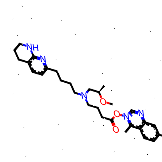 CO[C@H](C)CN(CCCCc1ccc2c(n1)NCCC2)CCCC(=O)O[n+]1cnc2cc(F)ccc2c1C